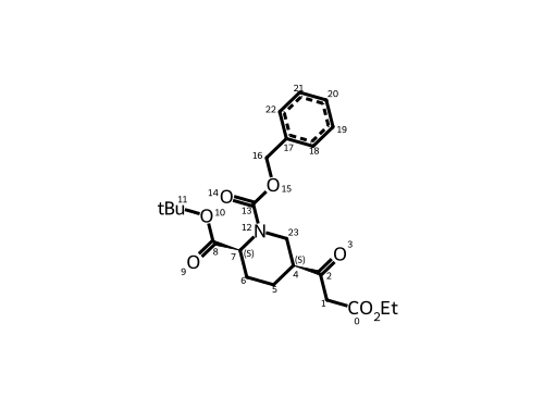 CCOC(=O)CC(=O)[C@H]1CC[C@@H](C(=O)OC(C)(C)C)N(C(=O)OCc2ccccc2)C1